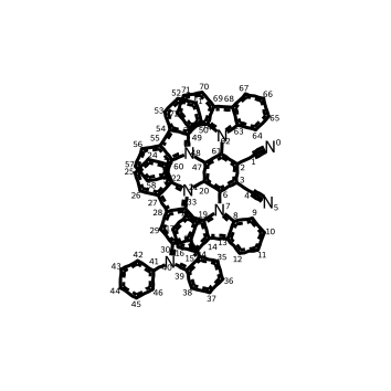 N#Cc1c(C#N)c(-n2c3ccccc3c3ccccc32)c(-n2c3ccccc3c3cc4c(cc32)c2ccccc2n4-c2ccccc2)c(-n2c3ccccc3c3ccccc32)c1-n1c2ccccc2c2ccccc21